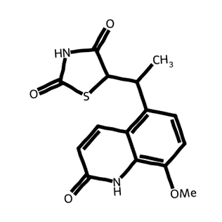 COc1ccc(C(C)C2SC(=O)NC2=O)c2ccc(=O)[nH]c12